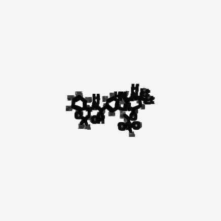 CCC1(CC)CC(=O)N([C@H](CCS(C)(=O)=O)c2cccc(C(=O)N[C@@H]3c4ccccc4OC(C)(C)[C@H]3O)c2)C(=N)N1